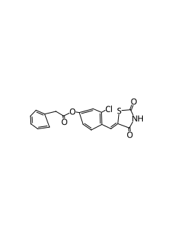 O=C(Cc1ccccc1)Oc1ccc(/C=C2\SC(=O)NC2=O)c(Cl)c1